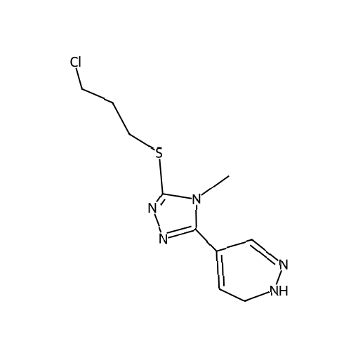 Cn1c(SCCCCl)nnc1C1=CCNN=C1